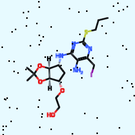 CCCSc1nc(CI)c(N)c(N[C@@H]2C[C@H](OCCO)[C@H]3OC(C)(C)O[C@H]32)n1